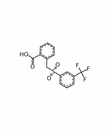 O=C(O)c1ccccc1CS(=O)(=O)c1cccc(C(F)(F)F)c1